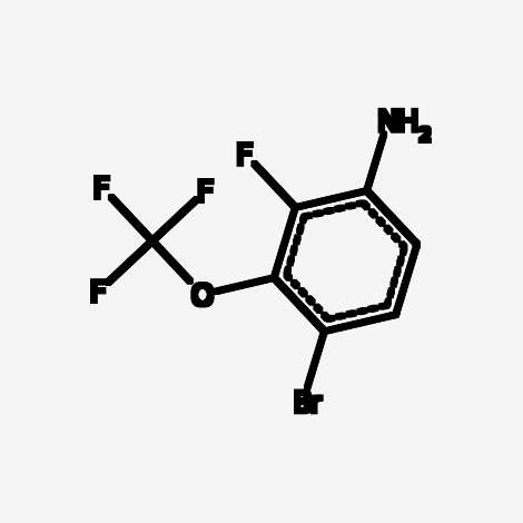 Nc1ccc(Br)c(OC(F)(F)F)c1F